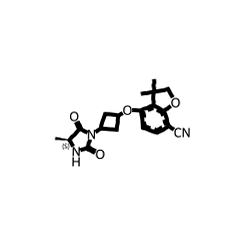 C[C@@H]1NC(=O)N(C2CC(Oc3ccc(C#N)c4c3C(C)(C)CO4)C2)C1=O